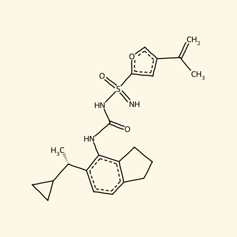 C=C(C)c1coc(S(=N)(=O)NC(=O)Nc2c([C@@H](C)C3CC3)ccc3c2CCC3)c1